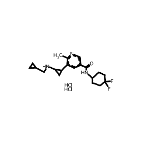 Cc1ncc(C(=O)NC2CCC(F)(F)CC2)cc1C1CC1NCC1CC1.Cl.Cl